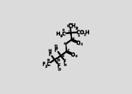 CC(C)(C(=O)O)C(=O)CC(=O)C(F)(F)C(F)(F)C(F)(F)F